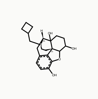 Oc1ccc2c3c1OC1C(O)CCC4(O)[C@@H](C2)N(CC2CCC2)CC[C@]314